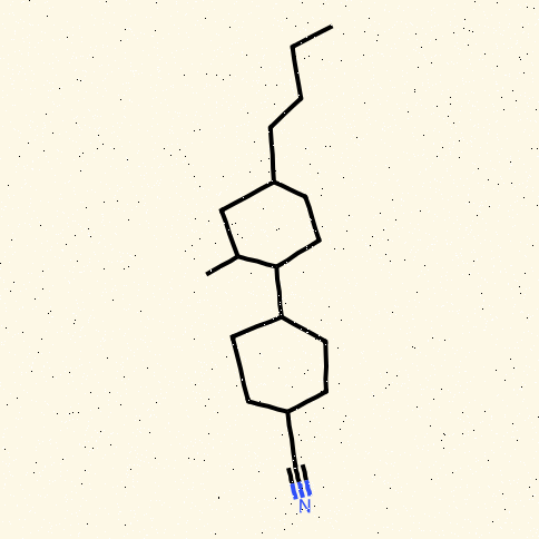 CCCCC1CCC(C2CCC(C#N)CC2)C(C)C1